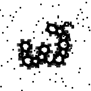 Cn1c2ccccc2n2c3cc4c(cc3nc12)oc1ccc(Cn2c3ccccc3n3c5c(ccc6oc7cccnc7c65)nc23)nc14